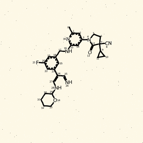 Cc1cc(N2CCC(C#N)(C3CC3)C2=O)cc(NCc2cc(F)cc(/C(C=N)=C/NC3CCCCO3)c2)n1